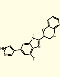 Fc1cc(-c2cn[nH]c2)cc2[nH]c(C3COc4ccccc4O3)nc12